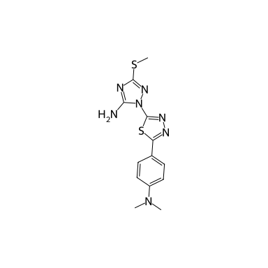 CSc1nc(N)n(-c2nnc(-c3ccc(N(C)C)cc3)s2)n1